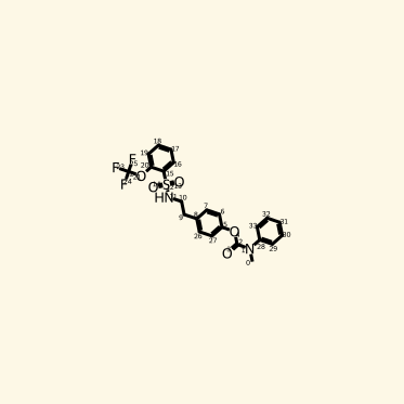 CN(C(=O)Oc1ccc(CCNS(=O)(=O)c2ccccc2OC(F)(F)F)cc1)c1ccccc1